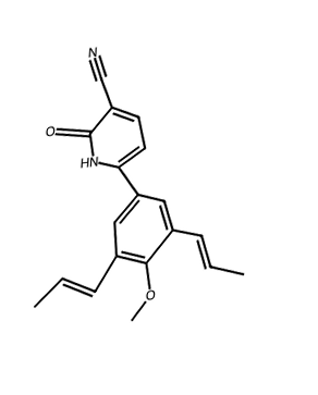 CC=Cc1cc(-c2ccc(C#N)c(=O)[nH]2)cc(C=CC)c1OC